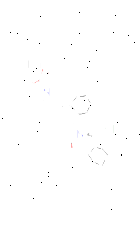 CC(C)(C)OC(=O)N1CCC2(CC1)CC1CC(=O)N([C@H](CCl)c3ccccc3)C1c1ccccc12